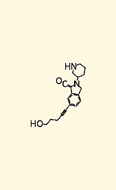 O=C=C1c2cc(C#CCCCO)ccc2CN1C1CCCNC1